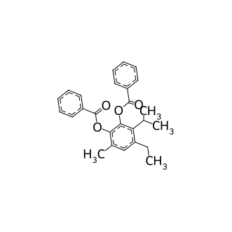 CCc1cc(C)c(OC(=O)c2ccccc2)c(OC(=O)c2ccccc2)c1C(C)C